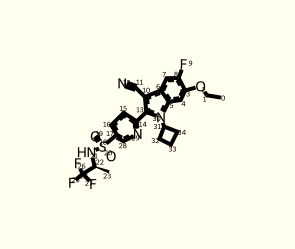 CCOc1cc2c(cc1F)c(C#N)c(-c1ccc(S(=O)(=O)N[C@@H](C)C(F)(F)F)cn1)n2C1CCC1